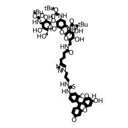 CC(C)(C)OC(=O)NC1C[C@@H](NC(=O)OC(C)(C)C)[C@@H](O[C@@H]2O[C@H](CO)[C@H](O)C(NC(=O)OC(C)(C)C)C2O)C(O)[C@@H]1O[C@H]1OC(CNC(=O)CCCc2cn(CCCNC(=S)Nc3ccc(-c4c5ccc(=O)cc-5oc5cc(O)ccc45)c(C(=O)O)c3)nn2)[C@@H](O)[C@H](O)C1O